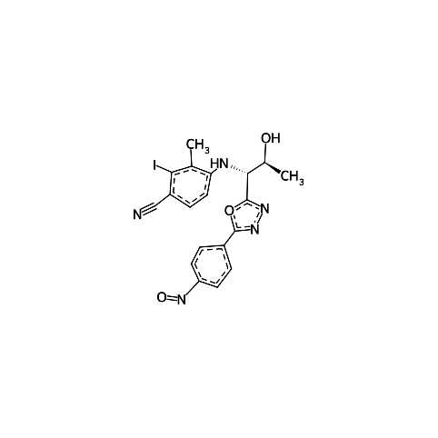 Cc1c(N[C@@H](c2nnc(-c3ccc(N=O)cc3)o2)[C@H](C)O)ccc(C#N)c1I